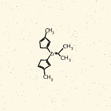 CC1=CC[C]([Zr]([C]2=CC(C)=CC2)=[C](C)C)=C1